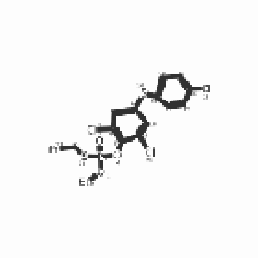 CCOP(=O)(Oc1c(Cl)cc(Sc2ccc(Cl)cc2)cc1Cl)SCC(C)C